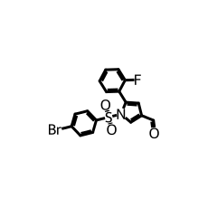 O=Cc1cc(-c2ccccc2F)n(S(=O)(=O)c2ccc(Br)cc2)c1